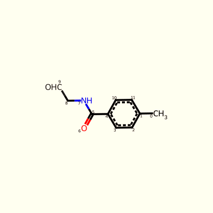 Cc1ccc(C(=O)NCC=O)cc1